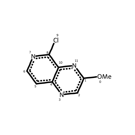 COc1cnc2ccnc(Cl)c2n1